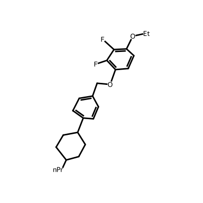 CCCC1CCC(c2ccc(COc3ccc(OCC)c(F)c3F)cc2)CC1